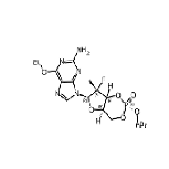 CCCO[P@]1(=O)OC[C@H]2O[C@@H](n3cnc4c(OCC)nc(N)nc43)[C@](C)(F)[C@@H]2O1